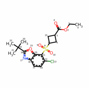 CCOC(=O)C1CC(S(=O)(=O)c2c(Cl)ccc3nc(C(C)(C)C)oc23)C1